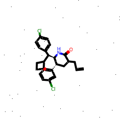 C=CCC1C[C@H](c2cccc(Cl)c2)[C@@H](C(c2ccc(Cl)cc2)C2CCC2)NC1=O